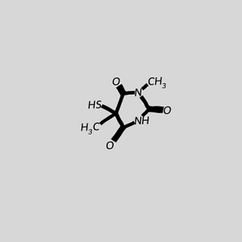 CN1C(=O)NC(=O)C(C)(S)C1=O